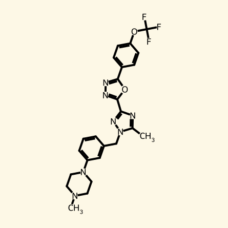 Cc1nc(-c2nnc(-c3ccc(OC(F)(F)F)cc3)o2)nn1Cc1cccc(N2CCN(C)CC2)c1